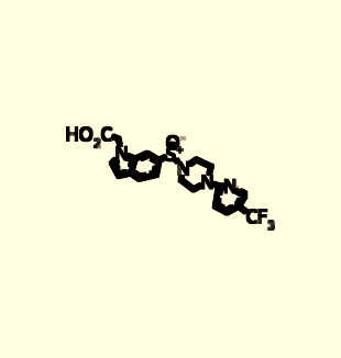 O=C(O)Cn1ccc2ccc([S+]([O-])N3CCN(c4ccc(C(F)(F)F)cn4)CC3)cc21